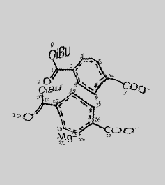 CC(C)COC(=O)c1ccc(C(=O)[O-])cc1.CC(C)COC(=O)c1ccc(C(=O)[O-])cc1.[Mg+2]